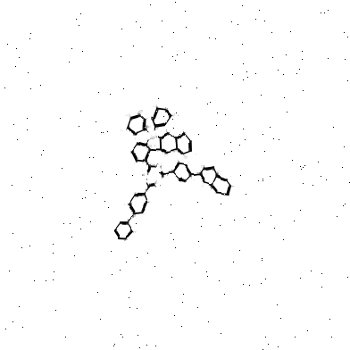 c1ccc(-c2ccc(-c3nc(-c4ccc(-c5ccc6ccccc6c5)cc4)nc(-c4cccc5c4-c4cc6ccccc6cc4[Si]5(c4ccccc4)c4ccccc4)n3)cc2)cc1